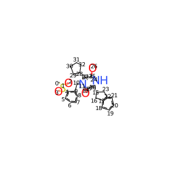 CS(=O)(=O)c1ccccc1CN1C(=O)[C@@H](C2Cc3ccccc3C2)NC(=O)[C@H]1C1CCCC1